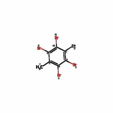 CCc1c(Br)c(Br)c(C)c(Br)c1Br